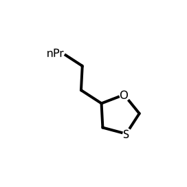 CCCCCC1CSCO1